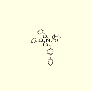 COC(=O)C(CCc1ccc(-c2ccccc2)cc1)N(COCc1ccccc1)C(=O)OCc1ccccc1